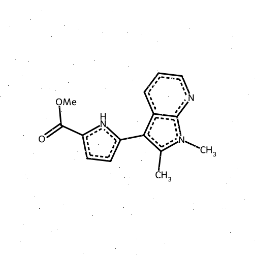 COC(=O)c1ccc(-c2c(C)n(C)c3ncccc23)[nH]1